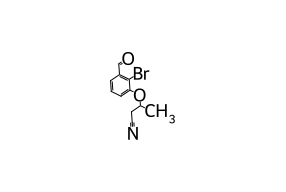 CC(CC#N)Oc1cccc(C=O)c1Br